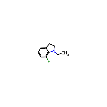 CCN1CCc2cccc(F)c21